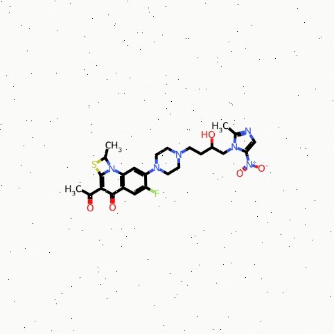 CC(=O)c1c2n(c3cc(N4CCN(CCC(O)Cn5c([N+](=O)[O-])cnc5C)CC4)c(F)cc3c1=O)C(C)S2